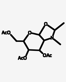 CC(=O)OCC1OC2OC(C)N(C)C2C(OC(C)=O)C1OC(C)=O